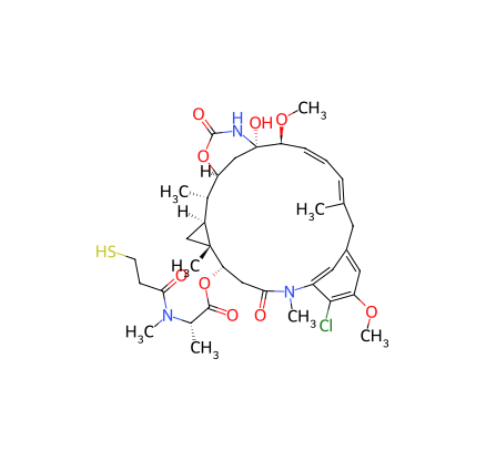 COc1cc2cc(c1Cl)N(C)C(=O)C[C@H](OC(=O)[C@H](C)N(C)C(=O)CCS)[C@]1(C)C[C@H]1[C@H](C)[C@@H]1C[C@@](O)(NC(=O)O1)[C@@H](OC)/C=C\C=C(/C)C2